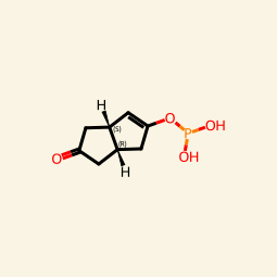 O=C1C[C@H]2CC(OP(O)O)=C[C@H]2C1